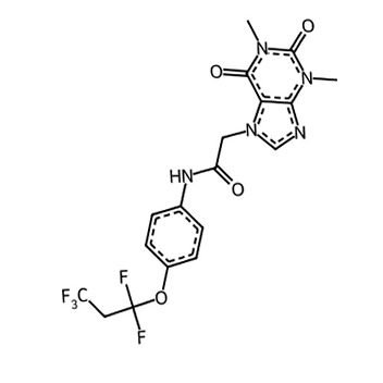 Cn1c(=O)c2c(ncn2CC(=O)Nc2ccc(OC(F)(F)CC(F)(F)F)cc2)n(C)c1=O